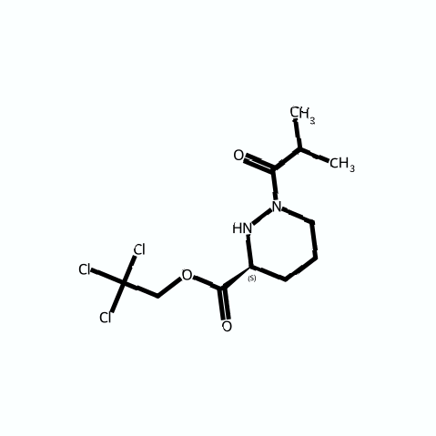 CC(C)C(=O)N1CCC[C@@H](C(=O)OCC(Cl)(Cl)Cl)N1